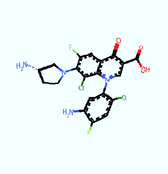 Nc1cc(-n2cc(C(=O)O)c(=O)c3cc(F)c(N4CC[C@H](N)C4)c(Cl)c32)c(Cl)cc1F